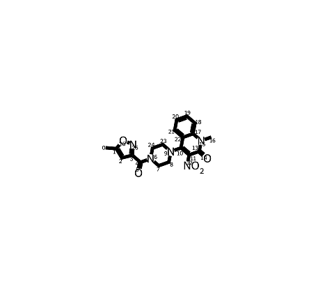 Cc1cc(C(=O)N2CCN(c3c([N+](=O)[O-])c(=O)n(C)c4ccccc34)CC2)no1